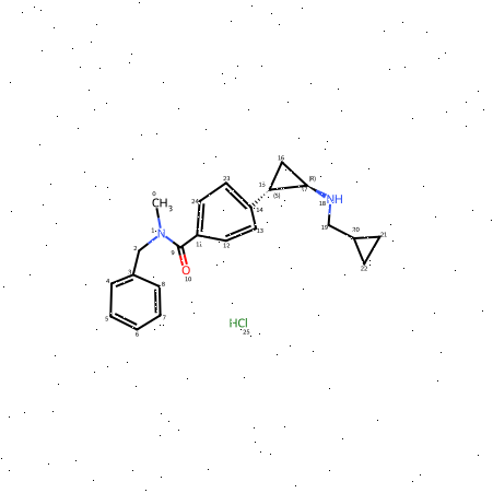 CN(Cc1ccccc1)C(=O)c1ccc([C@@H]2C[C@H]2NCC2CC2)cc1.Cl